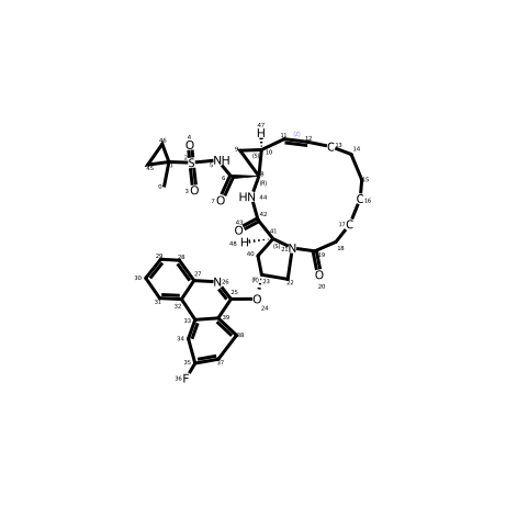 CC1(S(=O)(=O)NC(=O)[C@@]23C[C@H]2/C=C\CCCCCCC(=O)N2C[C@H](Oc4nc5ccccc5c5cc(F)ccc45)C[C@H]2C(=O)N3)CC1